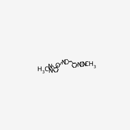 Cc1ncc2c(OCCN3CCC(=Cc4cccc(N5CCN(C)CC5)c4)CC3)cccc2n1